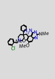 CNc1nc(N)c2c(CC3(c4ccccc4)CCN(Cc4ccccc4Cl)CC3)c(OC)c(OC)cc2n1